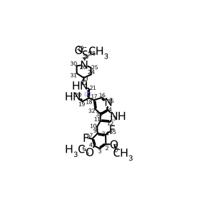 COc1cc(OC)c(F)c(Cc2c[nH]c3ncc(/C(C=N)=C/NC4CCN([S+](C)[O-])CC4)cc23)c1F